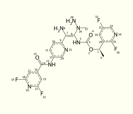 C[C@@H](OC(=O)N/C(=C(/N)c1ccc(NC(=O)c2cc(F)nc(F)c2)cn1)N(C)N)c1cc(F)cnc1F